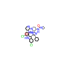 C[C@@H](c1ccc(Cl)cc1)n1cnc(-c2ccccc2)c1-c1c(C(=O)Nc2cccnc2N2CCC(NC(=O)N3CCC3)CC2)[nH]c2cc(Cl)ccc12